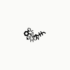 CCC(C)(C)C(C)(C)c1cc(NC(=S)c2c(OC)cccc2OC)on1